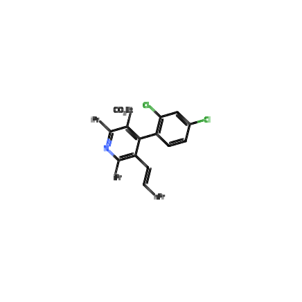 CCC/C=C/c1c(C(C)C)nc(C(C)C)c(C(=O)OCC)c1-c1ccc(Cl)cc1Cl